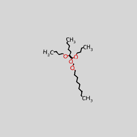 CCCCCCCCCOCOC(OCCCC)=C(CCCCC)OCCCC